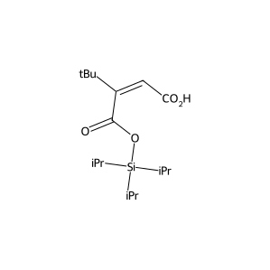 CC(C)[Si](OC(=O)/C(=C\C(=O)O)C(C)(C)C)(C(C)C)C(C)C